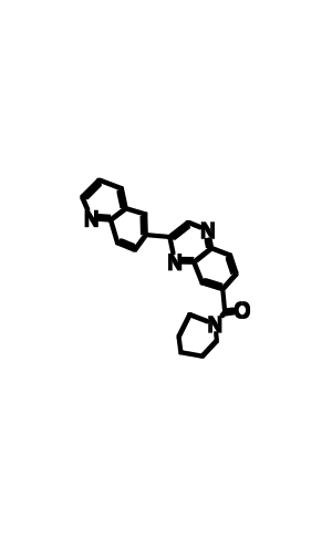 O=C(c1ccc2ncc(-c3ccc4ncccc4c3)nc2c1)N1CCCCC1